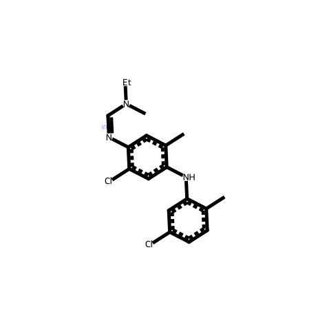 CCN(C)/C=N\c1cc(C)c(Nc2cc(Cl)ccc2C)cc1Cl